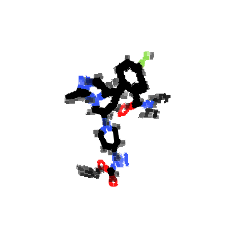 CCN(C(=O)c1cc(F)ccc1-c1cc(N2CCC(NC(=O)OC(C)(C)C)CC2)cn2c(C)ncc12)C(C)C